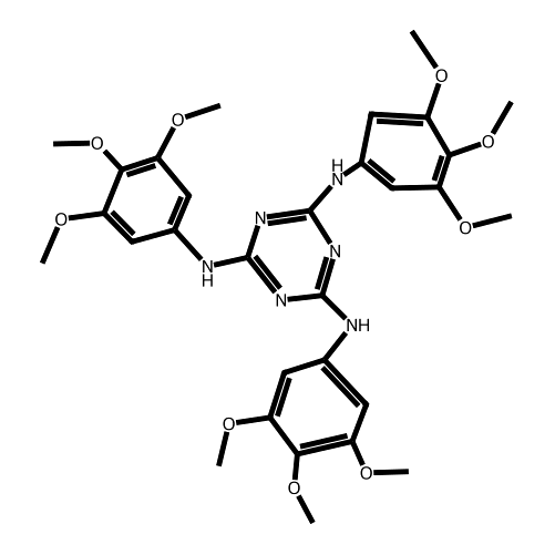 COc1cc(Nc2nc(Nc3cc(OC)c(OC)c(OC)c3)nc(Nc3cc(OC)c(OC)c(OC)c3)n2)cc(OC)c1OC